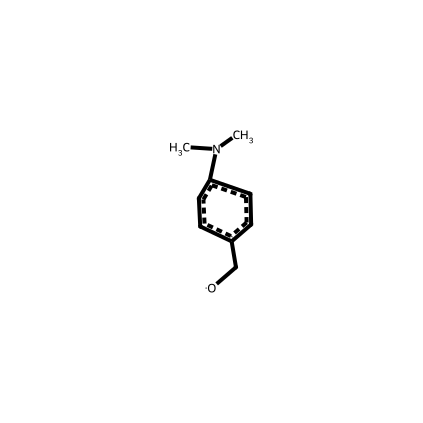 CN(C)c1ccc(C[O])cc1